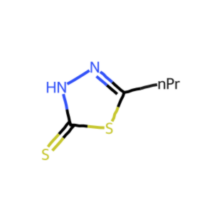 CCCc1n[nH]c(=S)s1